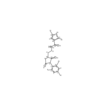 Cc1cc(C)c(C2C(=O)CC(CCNC(=O)c3nc(C)sc3C)C2=O)c(C)c1